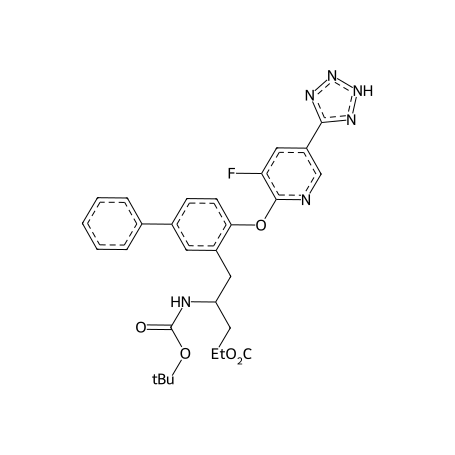 CCOC(=O)CC(Cc1cc(-c2ccccc2)ccc1Oc1ncc(-c2nn[nH]n2)cc1F)NC(=O)OC(C)(C)C